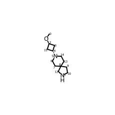 CO[C@H]1C[C@H](N2CCC3(CCNC3)CC2)C1